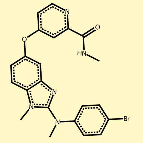 CNC(=O)c1cc(Oc2ccc3c(c2)nc(N(C)c2ccc(Br)cc2)n3C)ccn1